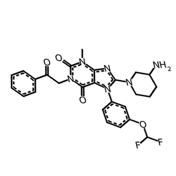 Cn1c(=O)n(CC(=O)c2ccccc2)c(=O)c2c1nc(N1CCCC(N)C1)n2-c1cccc(OC(F)F)c1